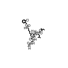 CCC(C)(C)OC(=O)N[C@H](CNC(=O)NC(CCCCNC(=O)OCc1ccccc1Cl)CNC(=O)N[C@@H](C)CNC(=O)NC)CC(C)C